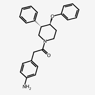 Nc1ccc(CC(=O)N2CC[C@H](Oc3ccccc3)[C@@H](c3ccccc3)C2)cc1